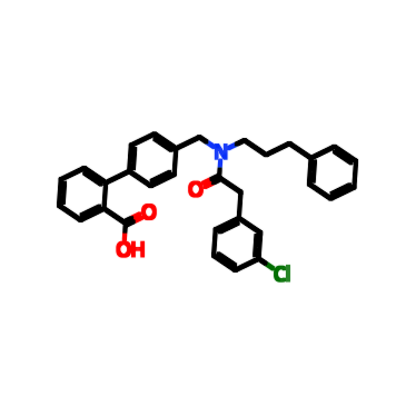 O=C(O)c1ccccc1-c1ccc(CN(CCCc2ccccc2)C(=O)Cc2cccc(Cl)c2)cc1